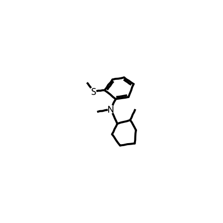 CSc1ccccc1N(C)C1CCCCC1C